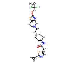 CC(F)(F)COc1nc2c(s1)CCN(CC[C@H]1CC[C@H](NC(=O)Cc3cnc(C4CC4)s3)CC1)C2